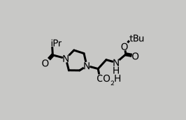 CC(C)C(=O)N1CCN(C(CNC(=O)OC(C)(C)C)C(=O)O)CC1